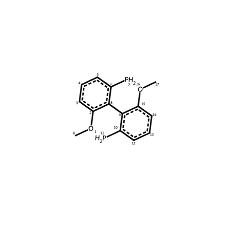 COc1cccc(P)c1-c1c(P)cccc1OC